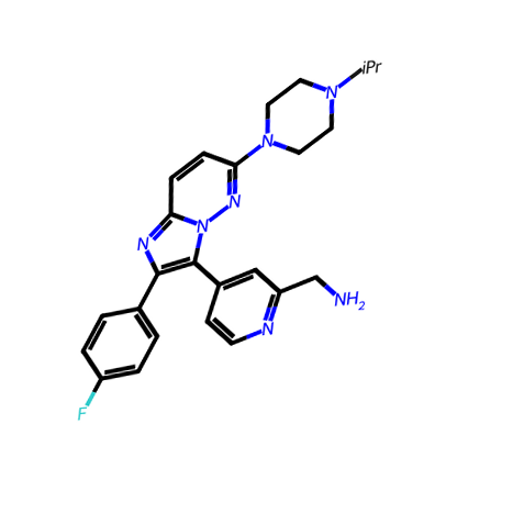 CC(C)N1CCN(c2ccc3nc(-c4ccc(F)cc4)c(-c4ccnc(CN)c4)n3n2)CC1